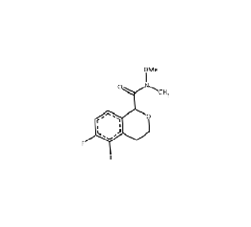 CON(C)C(=O)C1OCCc2c1ccc(F)c2I